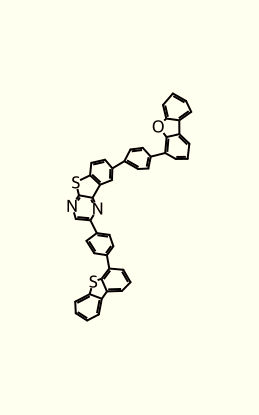 c1ccc2c(c1)oc1c(-c3ccc(-c4ccc5sc6ncc(-c7ccc(-c8cccc9c8sc8ccccc89)cc7)nc6c5c4)cc3)cccc12